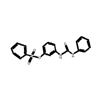 O=C(Nc1ccccc1)Nc1cccc(OS(=O)(=O)c2ccccc2)c1